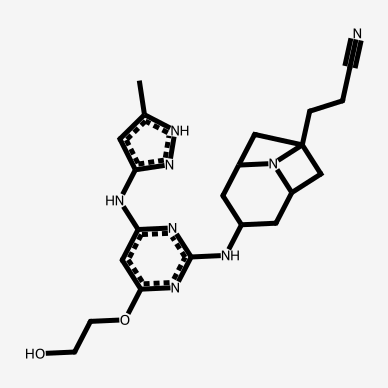 Cc1cc(Nc2cc(OCCO)nc(NC3CC4CC5(CCC#N)CC(C3)N45)n2)n[nH]1